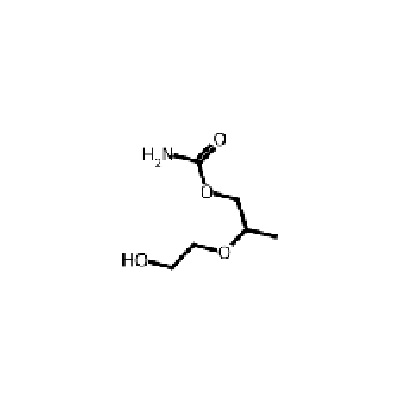 CC(COC(N)=O)OCCO